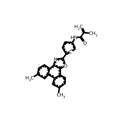 C=C(C)C(=O)Nc1ccc(-c2nc3c4ccc(C)cc4c4cc(C)ccc4c3o2)cc1